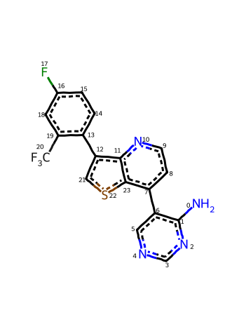 Nc1ncncc1-c1ccnc2c(-c3ccc(F)cc3C(F)(F)F)csc12